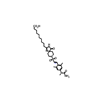 Cc1cc(N(C)C(N)=O)cc(C)c1/C=C/S(=O)(=O)N1CCC2(CC1)N=C(CCCCCCCCCC(=O)O)NC2=O